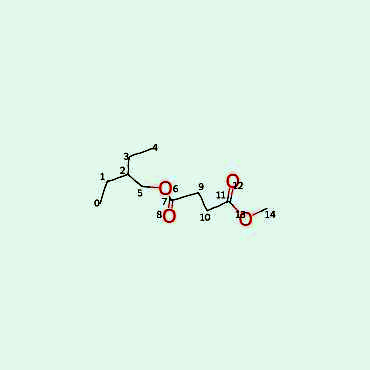 CCC(CC)COC(=O)CCC(=O)OC